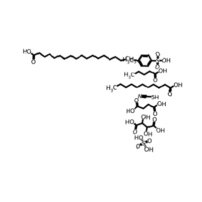 CCCCC(=O)O.CCCCCCCCCCC(=O)O.CCCCCCCCCCCCCCCCCC(=O)O.Cc1ccc(S(=O)(=O)O)cc1.N#CS.O=C(O)C(O)C(O)C(=O)O.O=C(O)CCC(=O)O.O=S(=O)(O)O